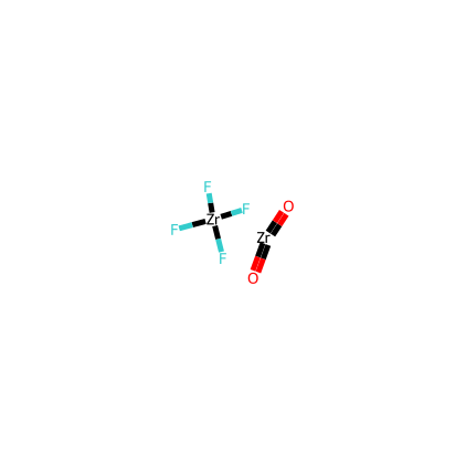 [F][Zr]([F])([F])[F].[O]=[Zr]=[O]